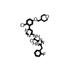 O=C(Nc1cc(-c2cc(OCC3CCOCC3)ccc2Cl)ncn1)c1nnc(Cc2ccccc2F)[nH]1